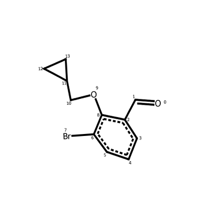 O=Cc1cccc(Br)c1OCC1CC1